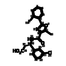 Cc1oc(-c2ccccc2F)nc1C(=O)N[C@@H](CC(=O)O)c1cccc(Cl)c1